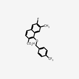 Cc1cc2c(OCc3ccc(C(F)(F)F)cc3)c(C(=O)O)ccc2cc1F